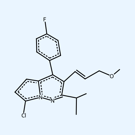 COC/C=C/c1c(C(C)C)nn2c(Cl)ccc2c1-c1ccc(F)cc1